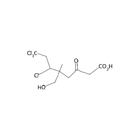 CC(CO)(CC(=O)CC(=O)O)C(Cl)CC(Cl)(Cl)Cl